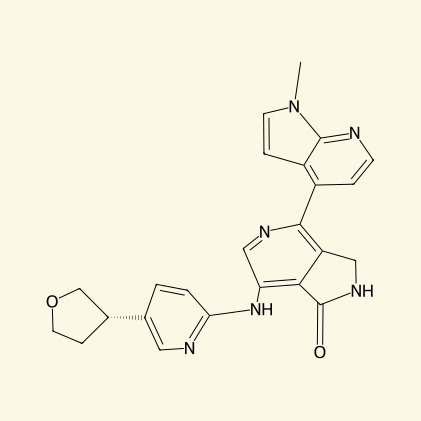 Cn1ccc2c(-c3ncc(Nc4ccc([C@@H]5CCOC5)cn4)c4c3CNC4=O)ccnc21